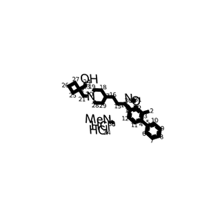 CNC.Cc1c(-c2ccccc2)ccc2c(CCC3CCN(CC4(CO)CCC4)CC3)noc12.Cl.Cl